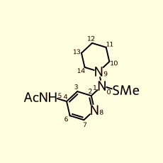 CSN(c1cc(NC(C)=O)ccn1)N1CCCCC1